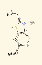 CCN1/C(=C/C(C)(C)C)Sc2cc(OC)ccc21